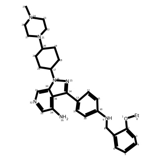 CCOc1ccccc1CNc1ccc(-c2nn(C3CCC(N4CCN(C)CC4)CC3)c3cncc(N)c23)cc1